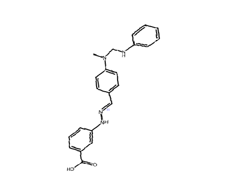 CN(CNc1ccccc1)c1ccc(/C=N/Nc2cccc(C(=O)O)c2)cc1